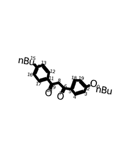 CCCCOc1ccc(C(=O)CC(=O)c2ccc(CCCC)cc2)cc1